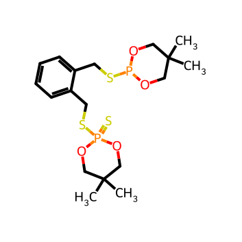 CC1(C)COP(SCc2ccccc2CSP2(=S)OCC(C)(C)CO2)OC1